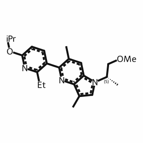 CCc1nc(OC(C)C)ccc1-c1nc2c(C)cn([C@@H](C)COC)c2cc1C